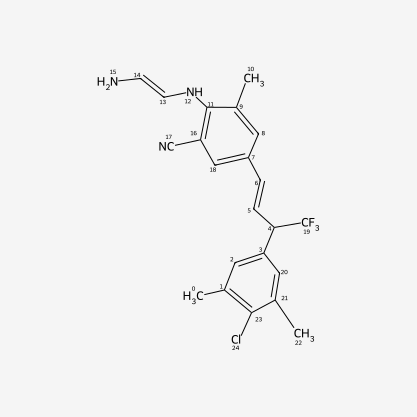 Cc1cc(C(/C=C/c2cc(C)c(N/C=C/N)c(C#N)c2)C(F)(F)F)cc(C)c1Cl